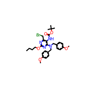 CCCCOc1nc(CBr)c(NC(=O)OC(C)(C)C)c(N(Cc2ccc(OC)cc2)Cc2ccc(OC)cc2)n1